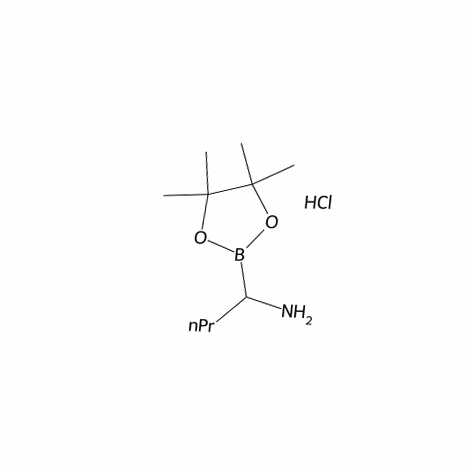 CCCC(N)B1OC(C)(C)C(C)(C)O1.Cl